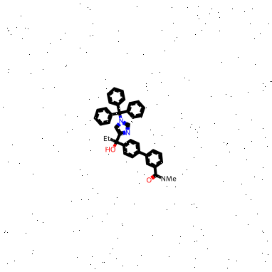 CCC(O)(c1ccc(-c2cccc(C(=O)NC)c2)cc1)c1cn(C(c2ccccc2)(c2ccccc2)c2ccccc2)cn1